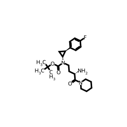 CC(C)(C)OC(=O)N(CC[C@H](N)C(=O)N1CCCCC1)[C@@H]1C[C@H]1c1ccc(F)cc1